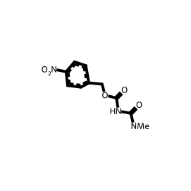 CNC(=O)NC(=O)OCc1ccc([N+](=O)[O-])cc1